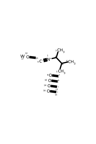 [C-]#[N+]C(C)C(C)C.[C]=O.[C]=O.[C]=O.[C]=O.[C]=O.[W]